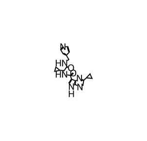 O=C(N[C@@H](C(=O)NCc1ccncc1)C1CC1)c1c[nH]c2ncc(C3CC3)nc12